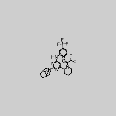 O=C(C(F)F)N1CCCCC1c1cc(Nc2cc(C(F)(F)F)ccn2)nc(N2CC3CCC(C2)O3)n1